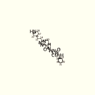 O=C(NC(CNC(=O)C1CCCn2c(CCC3CCNCC3)nnc21)C(=O)O)OCc1ccccc1